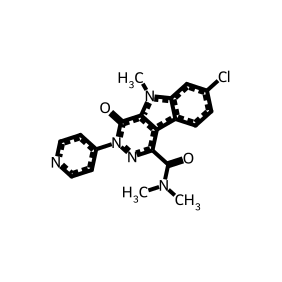 CN(C)C(=O)c1nn(-c2ccncc2)c(=O)c2c1c1ccc(Cl)cc1n2C